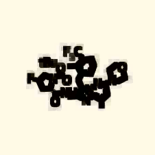 Cc1c(Cc2c(CNC(=O)[C@@H]3C[C@@H](F)CN3C(=O)OC(C)(C)C)nc3c(C)cc(N4CCOCC4)nn23)cccc1C(F)(F)F